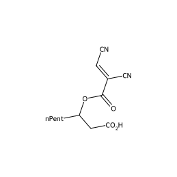 CCCCCC(CC(=O)O)OC(=O)C(C#N)=CC#N